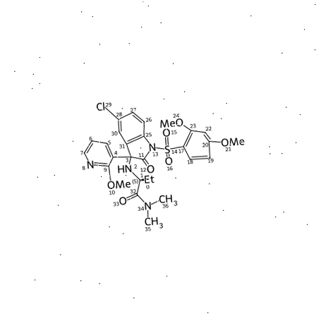 CC[C@H](NC1(c2cccnc2OC)C(=O)N(S(=O)(=O)c2ccc(OC)cc2OC)c2ccc(Cl)cc21)C(=O)N(C)C